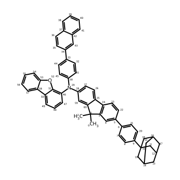 CC1(C)c2cc(-c3ccc(C45CC6CC(CC(C6)C4)C5)cc3)ccc2-c2ccc(N(c3ccc(-c4ccc5ccccc5c4)cc3)c3cccc4c3oc3ccccc34)cc21